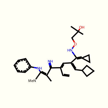 C=C/C(=C\C(=C\C1CCC1)C(NOCC(C)(C)O)=C1CC1)C(=N)/C(C)=C(/NC)Nc1ccccc1